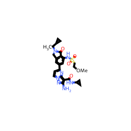 COCCS(=O)(=O)Nc1cc(-c2ccn3nc(N)c(C(=O)NC4CC4)c3n2)cc2c1C(=O)N([C@@H](C)C1CC1)C2